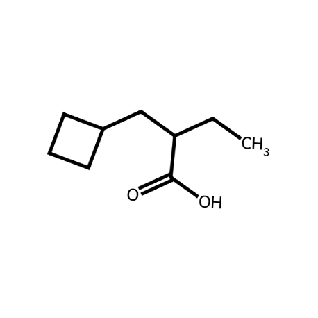 CCC(CC1CCC1)C(=O)O